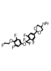 CCCC1COC(c2cc(F)c(C(F)(F)Oc3cc(F)c(OCCF)c(F)c3)c(F)c2)OC1